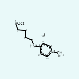 CCCCCCCCCCCCNc1cc[n+](C)cc1.[I-]